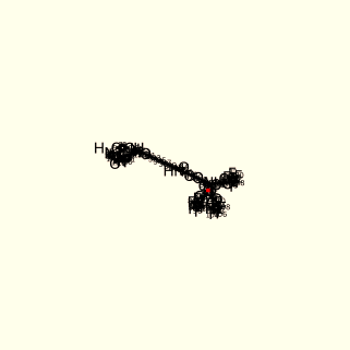 Cc1ccc(C)c(Cn2c(C(=O)c3ccncc3)nc3ccc(-c4cnn(CCOCCCCCCCCCCCCNC(=O)CCOCCOCCC(=O)NC(COCCC(=O)Oc5c(F)c(F)c(F)c(F)c5F)(COCCC(=O)Oc5c(F)c(F)c(F)c(F)c5F)COCCC(=O)Oc5c(F)c(F)c(F)c(F)c5F)c4)cc32)c1